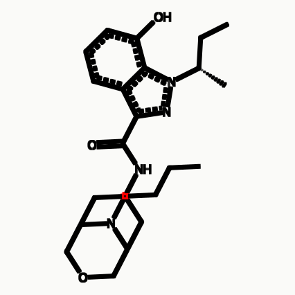 CCCCN1C2COCC1CC(NC(=O)c1nn([C@@H](C)CC)c3c(O)cccc13)C2